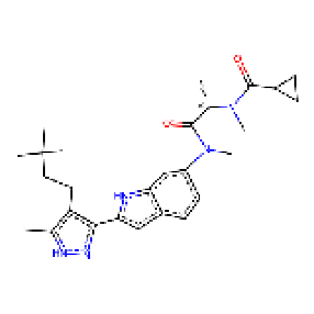 Cc1[nH]nc(-c2cc3ccc(N(C)C(=O)[C@H](C)N(C)C(=O)C4CC4)cc3[nH]2)c1CCC(C)(C)C